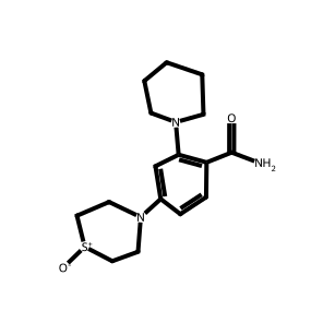 NC(=O)c1ccc(N2CC[S+]([O-])CC2)cc1N1CCCCC1